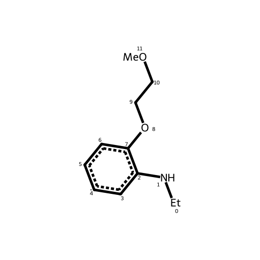 CCNc1c[c]ccc1OCCOC